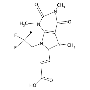 CN1c2c(n(C)c(=O)n(C)c2=O)N(CC(F)(F)F)C1/C=C/C(=O)O